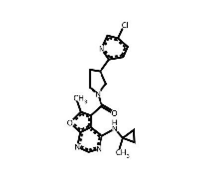 Cc1oc2ncnc(NC3(C)CC3)c2c1C(=O)N1CCC(c2ccc(Cl)cn2)C1